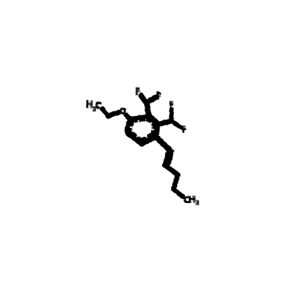 CCC/C=C/c1ccc(OCC)c(C(F)F)c1C(F)F